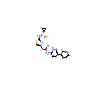 O=C(Cc1csc(N[S+]([O-])C2CC2)n1)Nc1ccc(-c2cccnc2)cn1